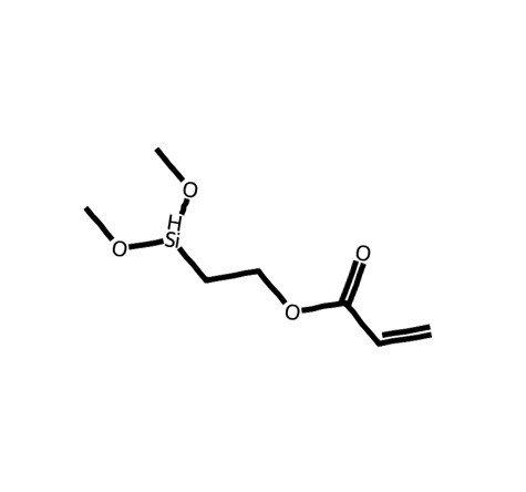 C=CC(=O)OCC[SiH](OC)OC